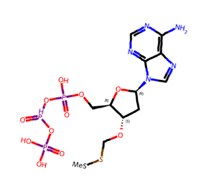 CSSCO[C@H]1C[C@H](n2cnc3c(N)ncnc32)O[C@@H]1COP(=O)(O)O[PH](=O)OP(=O)(O)O